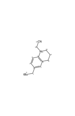 CC(C)(C)Cc1ccc2c(c1)[C]CCN2CC#N